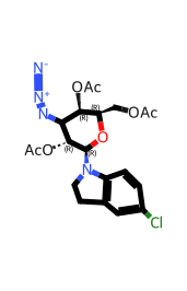 CC(=O)OC[C@H]1O[C@@H](N2CCc3cc(Cl)ccc32)[C@H](OC(C)=O)C(N=[N+]=[N-])[C@H]1OC(C)=O